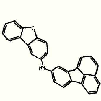 c1cc2c3c(cccc3c1)-c1cc(Nc3ccc4oc5ccccc5c4c3)ccc1-2